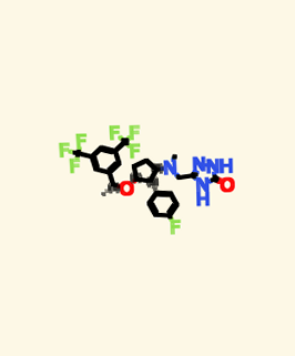 C[C@@H](O[C@H]1CC[C@@H](N(C)Cc2n[nH]c(=O)[nH]2)[C@@H]1c1ccc(F)cc1)c1cc(C(F)(F)F)cc(C(F)(F)F)c1